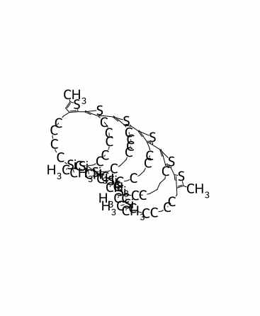 Cc1cc2c(s1)-c1cc3c(s1)-c1cc4c(s1)-c1cc5c(s1)-c1cc6c(s1)-c1cc(c(C)s1)CCCCCCCC[Si](C)(C)C[Si](C)(CCCCCCCC6)C[Si](C)(CCCCCCCC5)C[Si](C)(CCCCCCCC4)C[Si](C)(CCCCCCCC3)C[Si](C)(C)CCCCCCCC2